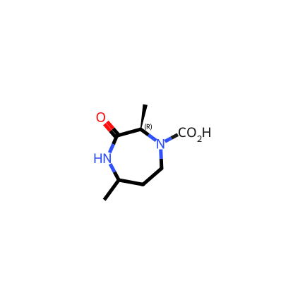 CC1CCN(C(=O)O)[C@H](C)C(=O)N1